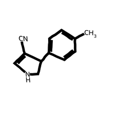 Cc1ccc(C2CNC=C2C#N)cc1